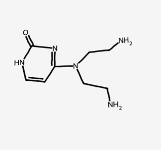 NCCN(CCN)c1cc[nH]c(=O)n1